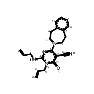 C=CCNc1nc(N2CCc3ccccc3CC2)c(C#N)c(=O)n1CC=C